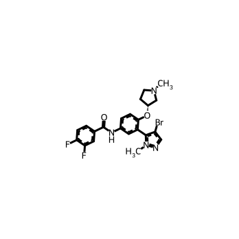 CN1CC[C@@H](Oc2ccc(NC(=O)c3ccc(F)c(F)c3)cc2-c2c(Br)cnn2C)C1